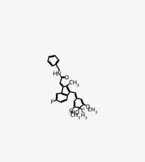 COC1=CC(=CC2=C(C)C(=CC(=O)NCc3ccccc3)c3cc(F)ccc32)C=C(OC)C1(C)O